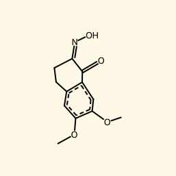 COc1cc2c(cc1OC)C(=O)C(=NO)CC2